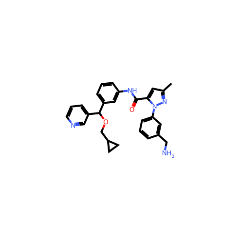 Cc1cc(C(=O)Nc2cccc(C(OCC3CC3)c3cccnc3)c2)n(-c2cccc(CN)c2)n1